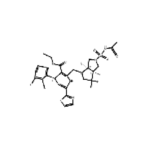 CCOC(=O)C1=C(CN2CC(F)(F)[C@@H]3CN(S(=O)(=O)NC(C)=O)C[C@@H]32)NC(c2nccs2)=N[C@H]1c1cccc(F)c1C